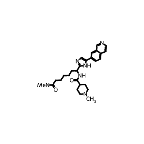 CNC(=O)CCCCCC(NC(=O)C1CCN(C)CC1)c1ncc(-c2ccc3ccncc3c2)[nH]1